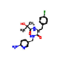 CC(C)(O)C(=O)N[C@@H](Cc1ccc(F)cc1)C(=O)NCc1ccc(N)nc1